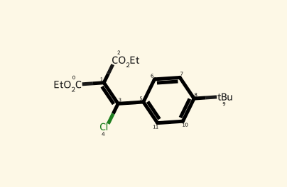 CCOC(=O)C(C(=O)OCC)=C(Cl)c1ccc(C(C)(C)C)cc1